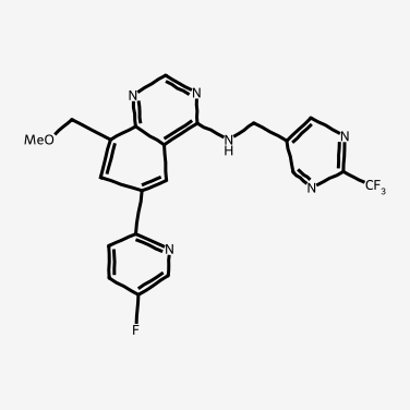 COCc1cc(-c2ccc(F)cn2)cc2c(NCc3cnc(C(F)(F)F)nc3)ncnc12